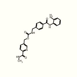 CNC(=O)c1ccc(COC(=O)NCc2ccc(C(=O)Nc3ccccc3N)cc2)cn1